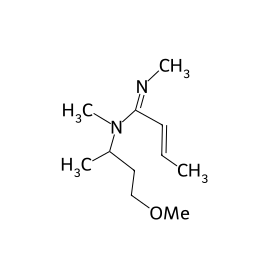 C/C=C/C(=N\C)N(C)C(C)CCOC